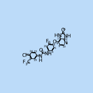 O=C(Nc1ccc(Oc2ccnc3[nH]c(=O)[nH]c23)c(F)c1)Nc1ccc(Cl)c(C(F)(F)F)c1